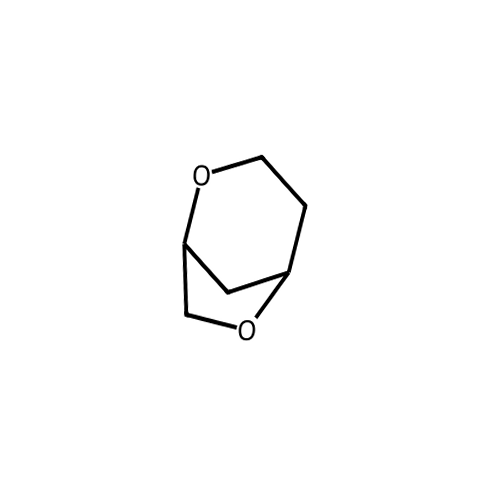 C1CC2CC(CO2)O1